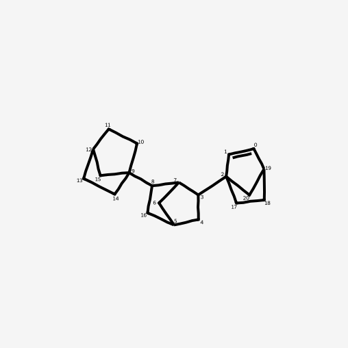 C1=CC2(C3CC4CC3C(C35CCC(CC3)C5)C4)CCC1C2